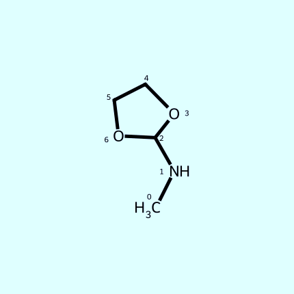 CNC1OCCO1